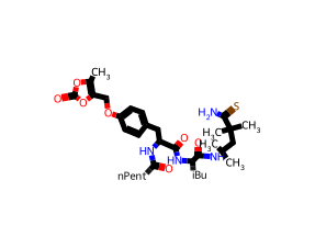 CCCCCC(=O)NC(Cc1ccc(OCc2oc(=O)oc2C)cc1)C(=O)NC(C(=O)NC(C)(C)CC(C)(C)C(N)=S)C(C)CC